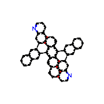 c1ccc2cc(-c3c4ccccc4c(-c4cc5ccccc5cc4-c4ccc5cccnc5c4)c4cc5ccccc5cc34)c(-c3ccc4cccnc4c3)cc2c1